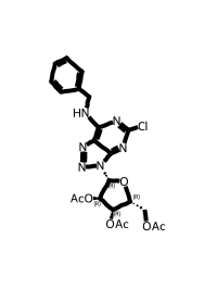 CC(=O)OC[C@H]1O[C@@H](n2nnc3c(NCc4ccccc4)nc(Cl)nc32)[C@H](OC(C)=O)[C@@H]1OC(C)=O